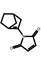 O=C1C=CC(=O)N1C1=C2CCC(C2)C1